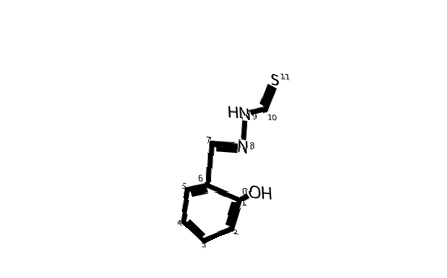 Oc1ccccc1C=NNC=S